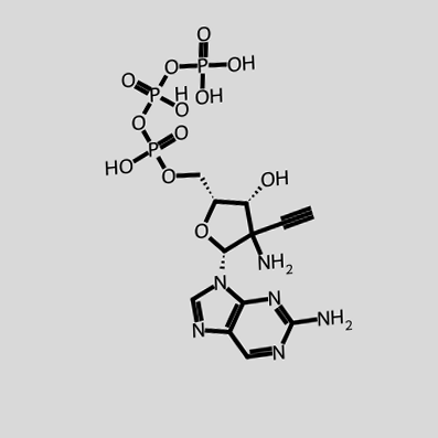 C#CC1(N)[C@@H](O)[C@@H](COP(=O)(O)OP(=O)(O)OP(=O)(O)O)O[C@H]1n1cnc2cnc(N)nc21